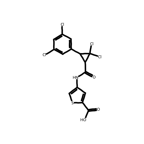 O=C(O)c1cc(NC(=O)C2C(c3cc(Cl)cc(Cl)c3)C2(Cl)Cl)cs1